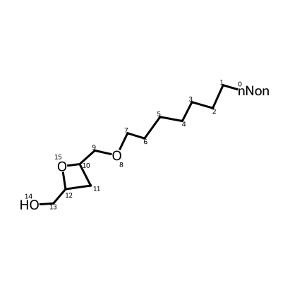 CCCCCCCCCCCCCCCCOCC1CC(CO)O1